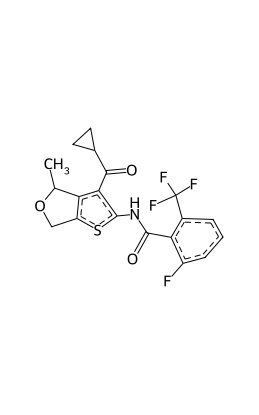 CC1OCc2sc(NC(=O)c3c(F)cccc3C(F)(F)F)c(C(=O)C3CC3)c21